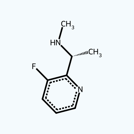 CN[C@H](C)c1ncccc1F